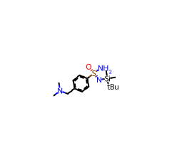 CN(C)Cc1ccc(S(N)(=O)=N[Si](C)(C)C(C)(C)C)cc1